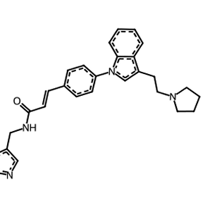 O=C(/C=C/c1ccc(-n2cc(CCN3CCCC3)c3ccccc32)cc1)NCc1cncs1